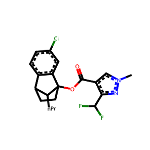 CCCC1C2CCC1(OC(=O)c1cn(C)nc1C(F)F)c1cc(Cl)ccc12